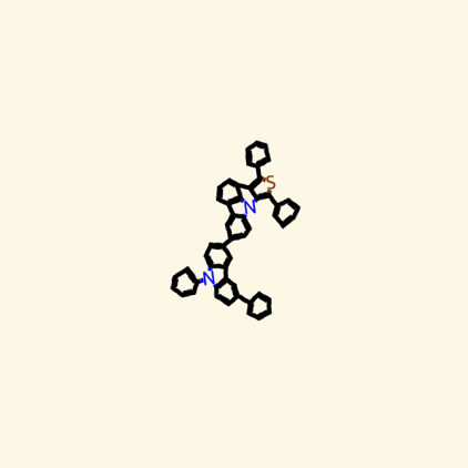 c1ccc(-c2ccc3c(c2)c2cc(-c4ccc5c(c4)c4cccc6c7c(-c8ccccc8)sc(-c8ccccc8)c7n5c46)ccc2n3-c2ccccc2)cc1